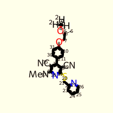 [2H]C([2H])([2H])O[C@H](C)COc1ccc(-c2c(C#N)c(NC)nc(SCc3ccccn3)c2C#N)cc1